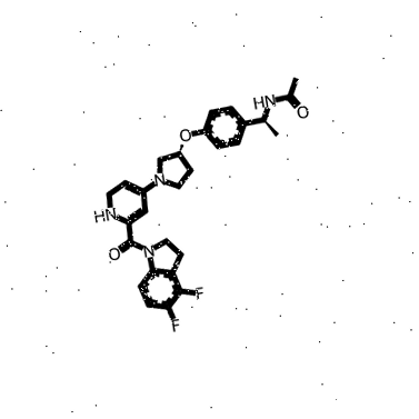 CC(=O)N[C@@H](C)c1ccc(O[C@@H]2CCN(C3=CCNC(C(=O)N4CCc5c4ccc(F)c5F)=C3)C2)cc1